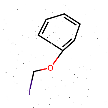 ICOc1[c]cccc1